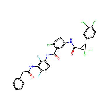 O=C(Cc1ccccc1)Nc1c(F)ccc(NC(=O)c2cc(NC(=O)[C@H]3[C@H](c4ccc(Cl)c(Cl)c4)C3(Cl)Cl)ccc2Cl)c1F